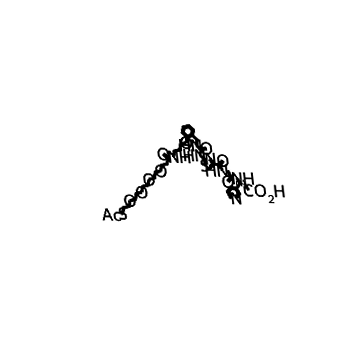 CC(=O)SCCOCCOCCOCCOCCC(=O)NCCCOc1ccccc1CNC(=O)Nc1nc(C(=O)NCC(=O)N[C@H](CC(=O)O)c2cccnc2)cs1